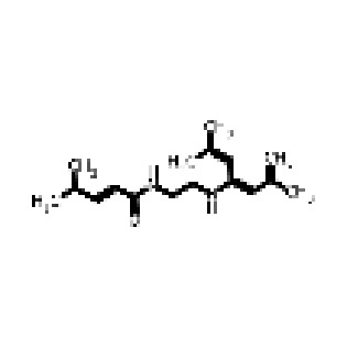 C=C(C)/C=C(\C=C(C)C)NCCNC(=O)/C=C/C(C)C